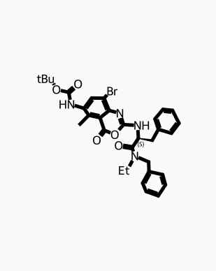 CCN(Cc1ccccc1)C(=O)[C@H](Cc1ccccc1)Nc1nc2c(Br)cc(NC(=O)OC(C)(C)C)c(C)c2c(=O)o1